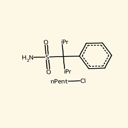 CC(C)C(c1ccccc1)(C(C)C)S(N)(=O)=O.CCCCCCl